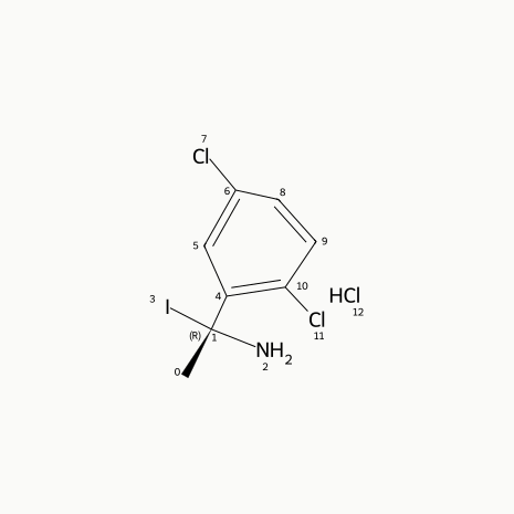 C[C@@](N)(I)c1cc(Cl)ccc1Cl.Cl